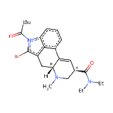 CCN(CC)C(=O)[C@@H]1C=C2c3cccc4c3c(c(Br)n4C(=O)C(C)(C)C)C[C@H]2N(C)C1